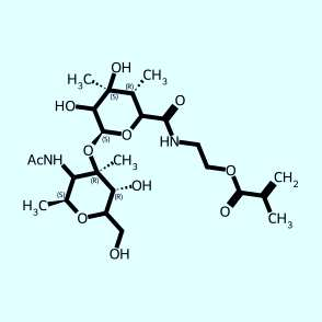 C=C(C)C(=O)OCCNC(=O)C1O[C@@H](O[C@]2(C)C(NC(C)=O)[C@H](C)OC(CO)[C@H]2O)C(O)[C@@](C)(O)[C@@H]1C